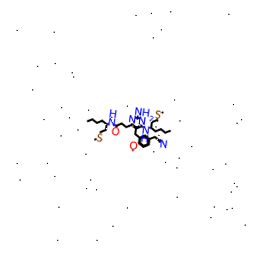 CCCCC(CCSC)NC(=O)CCc1nc(N)nc(NC(CCCC)CCSC)c1Cc1cc(CC#N)ccc1OC